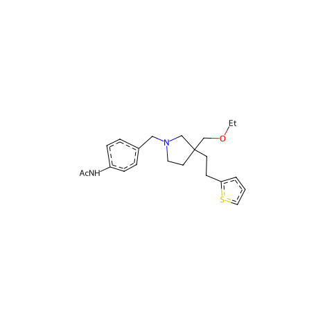 CCOCC1(CCc2cccs2)CCN(Cc2ccc(NC(C)=O)cc2)C1